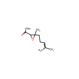 COC(=O)C1OC1(C)CCC=C(C)C